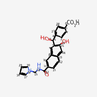 O=C(O)c1ccc(C(O)c2cc3cc(C(=O)NCn4cccc4)ccc3cc2O)cc1